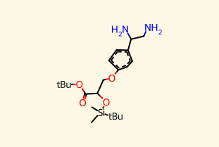 CC(C)(C)OC(=O)C(COc1ccc(C(N)CN)cc1)O[Si](C)(C)C(C)(C)C